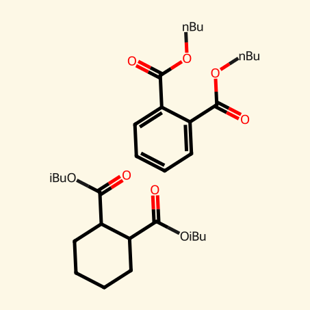 CC(C)COC(=O)C1CCCCC1C(=O)OCC(C)C.CCCCOC(=O)c1ccccc1C(=O)OCCCC